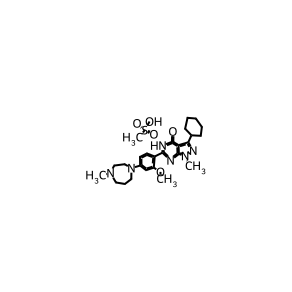 COc1cc(N2CCCN(C)CC2)ccc1-c1nc2c(c(C3CCCCC3)nn2C)c(=O)[nH]1.CS(=O)(=O)O